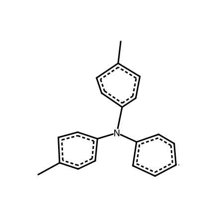 Cc1ccc(N(c2cc[c]cc2)c2ccc(C)cc2)cc1